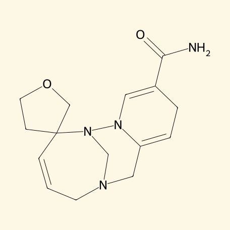 NC(=O)C1=CN2C(=CC1)CN1CC=CC3(CCOC3)N2C1